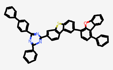 c1ccc(-c2ccc(-c3nc(-c4ccccc4)nc(-c4ccc5c(c4)sc4ccc(-c6ccc(-c7ccccc7)c7c6oc6ccccc67)cc45)n3)cc2)cc1